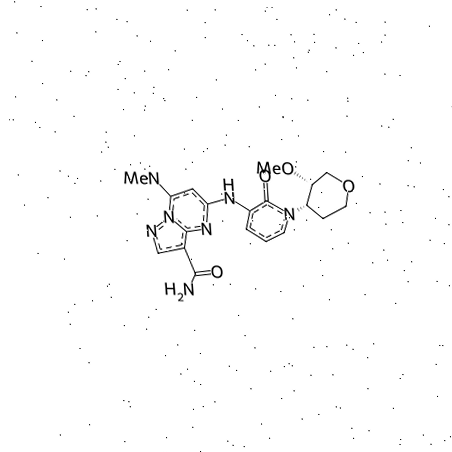 CNc1cc(Nc2cccn([C@H]3CCOC[C@H]3OC)c2=O)nc2c(C(N)=O)cnn12